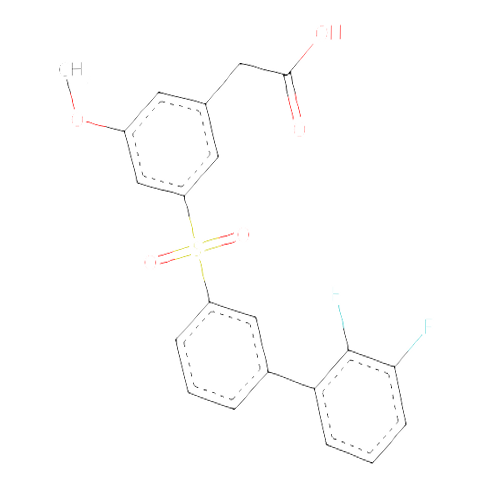 COc1cc(CC(=O)O)cc(S(=O)(=O)c2cccc(-c3cccc(F)c3F)c2)c1